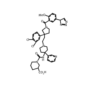 COc1ccc(C2C=NN=N2)cc1C(=O)N1CCC(CCN2CCC(NC(=O)N3CCCC(C(=O)O)C3)(c3cccnc3)CC2)(c2ccc(Cl)c(Cl)c2)C1